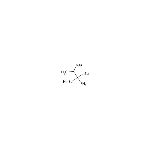 CCCCC(C)C(P)(CCCC)CCCC.I